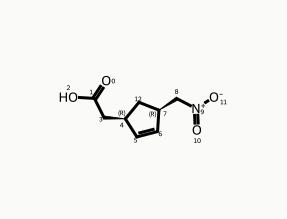 O=C(O)C[C@@H]1C=C[C@H](C[N+](=O)[O-])C1